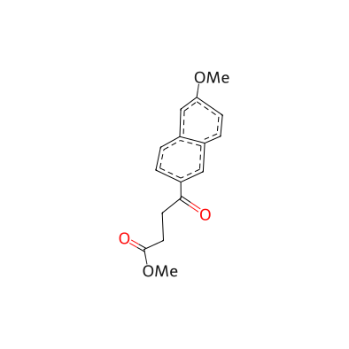 COC(=O)CCC(=O)c1ccc2cc(OC)ccc2c1